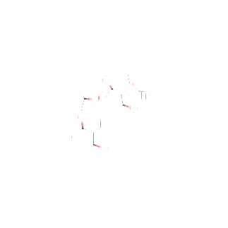 CC(C)=O.CCC(C(C)=O)C(=O)[O-].CCC(C(C)=O)C(=O)[O-].[O]=[Ti+2]